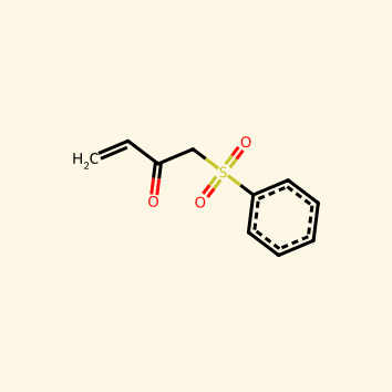 C=CC(=O)CS(=O)(=O)c1ccccc1